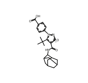 CC(C)(C)c1c(C(=O)NC2C3CC4CC(C3)CC2C4)cnn1-c1ccc(C(=O)O)cc1.O